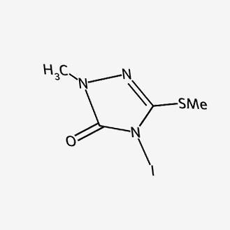 CSc1nn(C)c(=O)n1I